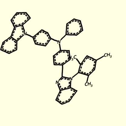 Cc1cc(C)c(-n2c(-c3ccc(N(c4ccccc4)c4ccc(-n5c6ccccc6c6ccccc65)cc4)cc3)nc3ccccc32)c(C)c1